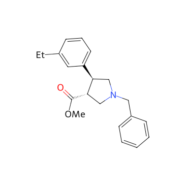 CCc1cccc([C@H]2CN(Cc3ccccc3)C[C@@H]2C(=O)OC)c1